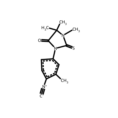 [C-]#[N+]c1ccc(N2C(=O)C(C)(C)N(C)C2=S)cc1C